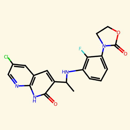 CC(Nc1cccc(N2CCOC2=O)c1F)c1cc2cc(Cl)cnc2[nH]c1=O